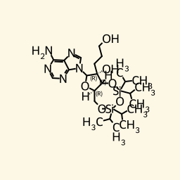 CC(C)[Si]1(C(C)C)OC[C@H]2OC(n3cnc4c(N)ncnc43)[C@@](O)(CCCO)[C@@H]2O[Si](C(C)C)(C(C)C)O1